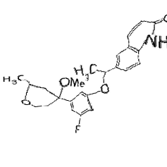 COC1(c2cc(F)cc(OC(C)c3ccc4[nH]c(=O)ccc4c3)c2)CCOC(C)C1